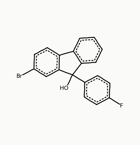 OC1(c2ccc(F)cc2)c2ccccc2-c2ccc(Br)cc21